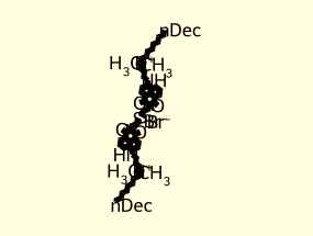 CCCCCCCCCCCCCCCCCC[N+](C)(C)CCCNc1ccc2c3c(cccc13)C(=O)N(CCSSCCN1C(=O)c3cccc4c(NCCC[N+](C)(C)CCCCCCCCCCCCCCCCCC)ccc(c34)C1=O)C2=O.[Br-].[Br-]